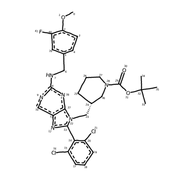 COc1ccc(CNc2ncc3nc(-c4c(Cl)cccc4Cl)n(C[C@@H]4CCCN(C(=O)OC(C)(C)C)C4)c3n2)cc1F